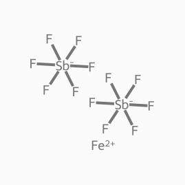 [F][Sb-]([F])([F])([F])([F])[F].[F][Sb-]([F])([F])([F])([F])[F].[Fe+2]